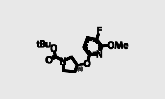 COc1nc(O[C@H]2CCN(C(=O)OC(C)(C)C)C2)ccc1F